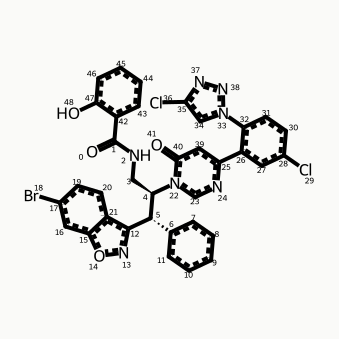 O=C(NC[C@H]([C@H](c1ccccc1)c1noc2cc(Br)ccc12)n1cnc(-c2cc(Cl)ccc2-n2cc(Cl)nn2)cc1=O)c1ccccc1O